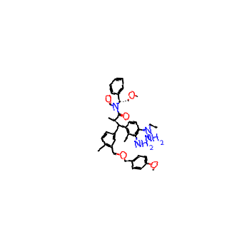 CCN(N)c1ccc(C(c2ccc(C)c(COCc3ccc(OC)cc3)c2)C(C)C(=O)N(C=O)[C@@H](COC)c2ccccc2)c(C)c1N